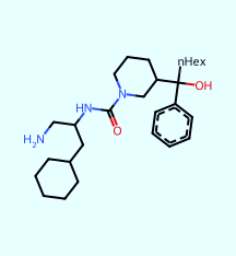 CCCCCCC(O)(c1ccccc1)C1CCCN(C(=O)NC(CN)CC2CCCCC2)C1